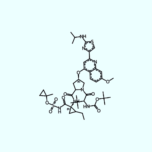 CCC1C[C@]1(NC(=O)C1C[C@@H](Oc2cc(-c3csc(NC(C)C)n3)nc3cc(OC)ccc23)CN1C(=O)C(NC(=O)OC(C)(C)C)C(C)(C)C)C(=O)NS(=O)(=O)OC1(C)CC1